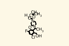 CC(c1cc(F)cc(Cl)c1CO)N1CCN(C(=O)OC(C)(C)C)CC1=O